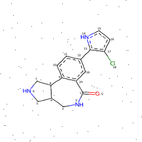 O=C1NCC2CNCC2c2ccc(-c3[nH]ccc3Cl)cc21